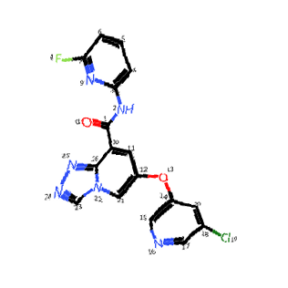 O=C(Nc1cccc(F)n1)c1cc(Oc2cncc(Cl)c2)cn2cnnc12